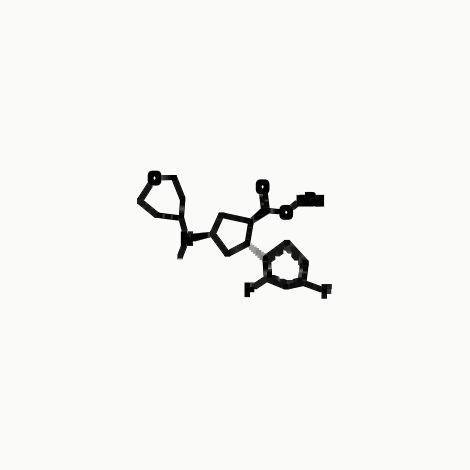 CCCCOC(=O)[C@@H]1C[C@H](N(C)C2CCOCC2)C[C@H]1c1ccc(F)cc1F